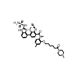 COc1c(-c2cccc3[nH]c(NS(N)(=O)=O)nc23)ccc(C(=O)N(C)c2ccc(C)cc2OCCCCCC(=O)N2CCN(C)CC2)c1N=C=O